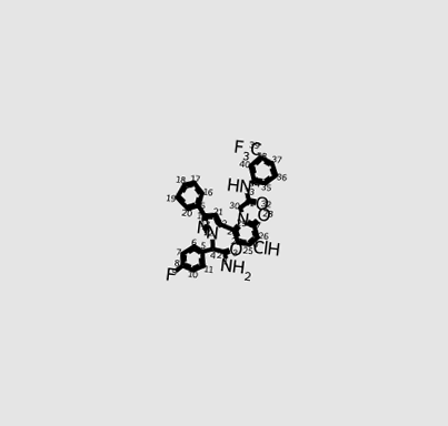 Cl.NC(=O)C(c1ccc(F)cc1)n1nc(-c2ccccc2)cc1-c1cccc(=O)n1CC(=O)Nc1cccc(C(F)(F)F)c1